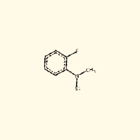 [CH2]CN(C)c1ccccc1F